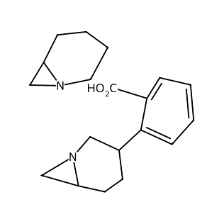 C1CCN2CC2C1.O=C(O)c1ccccc1C1CCC2CN2C1